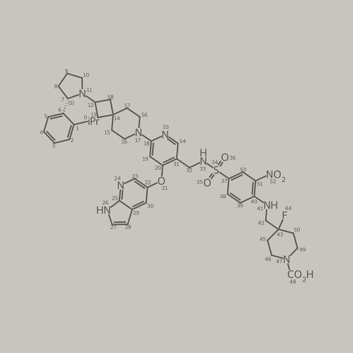 CC(C)c1ccccc1[C@@H]1CCCN1C1CC2(CCN(c3cc(Oc4cnc5[nH]ccc5c4)c(CNS(=O)(=O)c4ccc(NCC5(F)CCN(C(=O)O)CC5)c([N+](=O)[O-])c4)cn3)CC2)C1